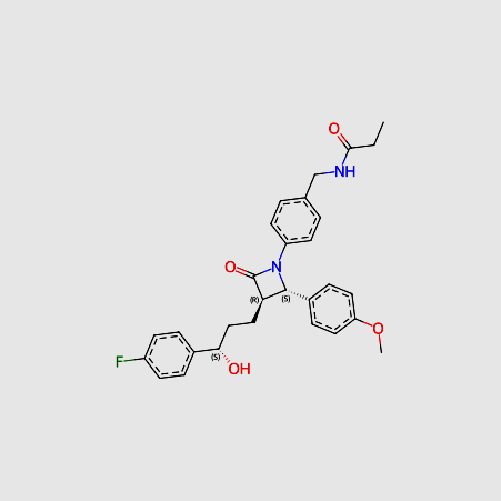 CCC(=O)NCc1ccc(N2C(=O)[C@H](CC[C@H](O)c3ccc(F)cc3)[C@H]2c2ccc(OC)cc2)cc1